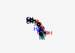 CN(C)c1ccc(CCOc2ccc(C(=O)NC(=Cc3ccc(C(F)(F)F)cc3)C(=O)NCCO)cc2)cc1